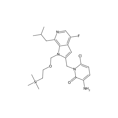 CC(C)Cc1ncc(F)c2cc(Cn3c(Cl)ccc(N)c3=O)n(COCC[Si](C)(C)C)c12